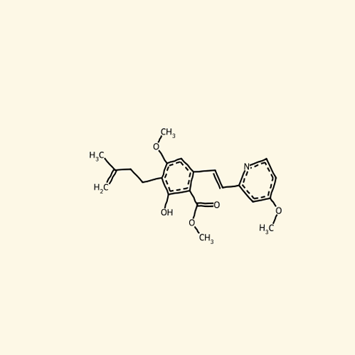 C=C(C)CCc1c(OC)cc(C=Cc2cc(OC)ccn2)c(C(=O)OC)c1O